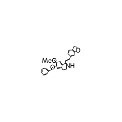 COc1cc2c(cc1OCc1ccccc1)CCNC2C=Cc1ccc2c(c1)OCC2